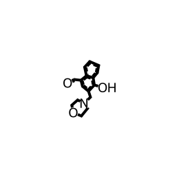 O=Cc1cc(CN2CCOCC2)c(O)c2ccccc12